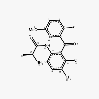 COc1ccc(F)c(C(=O)c2c(NC(=O)[C@H](C)N)ccc(C(F)(F)F)c2Cl)n1